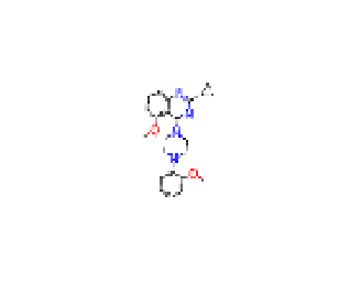 COc1ccccc1N1CCN(c2nc(C3CC3)nc3cccc(OC)c23)CC1